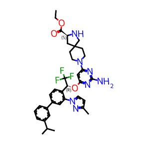 CCOC(=O)[C@@H]1CC2(CCN(c3cc(O[C@H](c4ccc(-c5cccc(C(C)C)c5)cc4-n4ccc(C)n4)C(F)(F)F)nc(N)n3)CC2)CN1